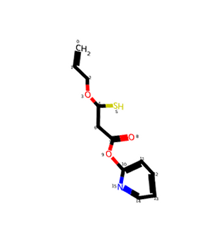 C=CCOC(S)CC(=O)Oc1ccccn1